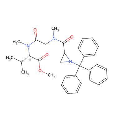 COC(=O)[C@H](C(C)C)N(C)C(=O)CN(C)C(=O)C1CN1C(c1ccccc1)(c1ccccc1)c1ccccc1